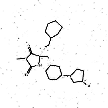 CN1C(=N)N[C@](CCC2CCCCC2)(C[C@H]2CCC[C@H](N3CC[C@@H](O)C3)C2)C1=O